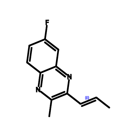 C/C=C/c1nc2cc(F)ccc2nc1C